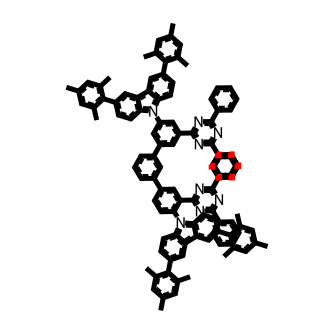 Cc1cc(C)c(-c2ccc3c(c2)c2cc(-c4c(C)cc(C)cc4C)ccc2n3-c2cc(-c3cccc(-c4ccc(-n5c6ccc(-c7c(C)cc(C)cc7C)cc6c6cc(-c7c(C)cc(C)cc7C)ccc65)c(-c5nc(-c6ccccc6)nc(-c6ccccc6)n5)c4)c3)cc(-c3nc(-c4ccccc4)nc(-c4ccccc4)n3)c2)c(C)c1